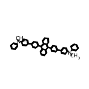 CN(c1ccccc1)c1ccc(-c2ccc(-c3c4ccccc4c(-c4ccc(-c5ccc(N(C)c6ccccc6)cc5)cc4)c4ccccc34)cc2)cc1